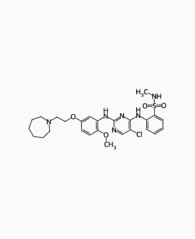 CNS(=O)(=O)c1ccccc1Nc1nc(Nc2cc(OCCN3CCCCCC3)ccc2OC)ncc1Cl